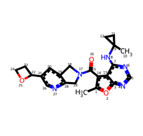 Cc1oc2ncnc(NC3(C)CC3)c2c1C(=O)N1Cc2cc(C3CCO3)cnc2C1